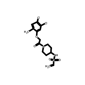 C=CS(=O)(=O)NC1CCN(C(=O)COc2cc(Cl)c(Cl)cc2C)CC1